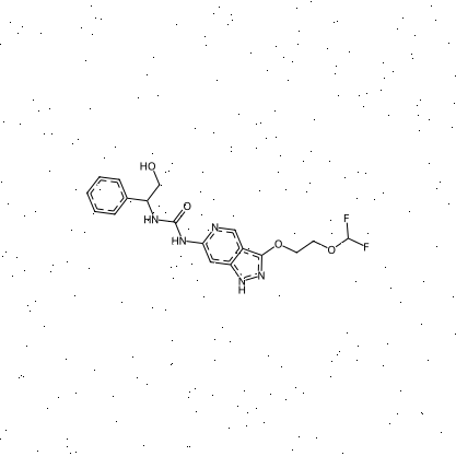 O=C(Nc1cc2[nH]nc(OCCOC(F)F)c2cn1)NC(CO)c1ccccc1